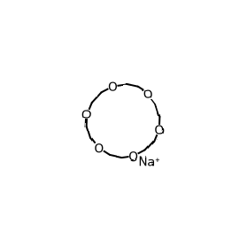 C1COCCOCCOCCOCCOCCO1.[Na+]